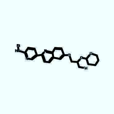 [3H]CC(COc1ccc2nc(-c3ccc(NCC)nc3)ccc2c1)OC1CCCCO1